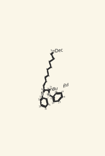 CCCCCCCCCCCCCCCCCCCC(=Nc1ccccc1)C(CCCC)=Nc1ccccc1.[Pd]